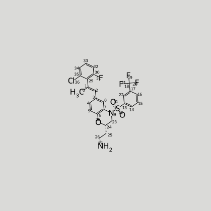 C/C(=C\c1ccc2c(c1)N(S(=O)(=O)c1cccc(C(F)(F)F)c1)C[C@H](CCN)O2)c1c(F)cccc1Cl